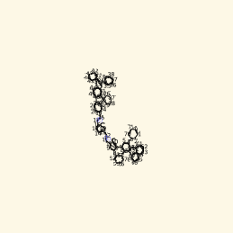 C1=CCC(c2cc(-c3ccc(/C=C/c4ccc(/C=C/c5ccc6c(c5)C5(CCCC5)c5cc(N(c7ccccc7)c7ccccc7)ccc5-6)s4)s3)c(C3C=CC=CC3)c3c2-c2cccc4cccc-3c24)C=C1